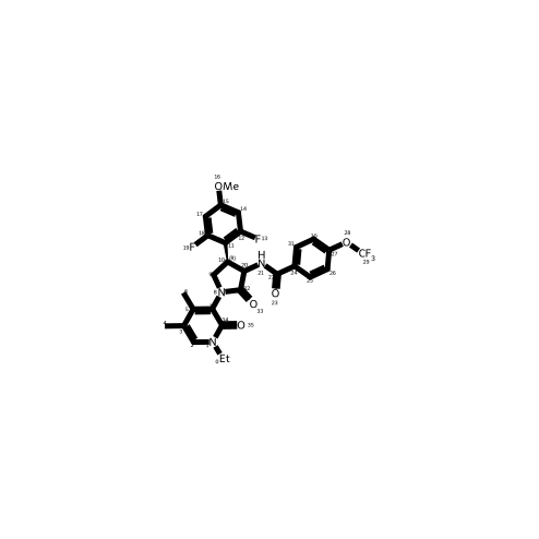 CCn1cc(C)c(C)c(N2C[C@@H](c3c(F)cc(OC)cc3F)C(NC(=O)c3ccc(OC(F)(F)F)cc3)C2=O)c1=O